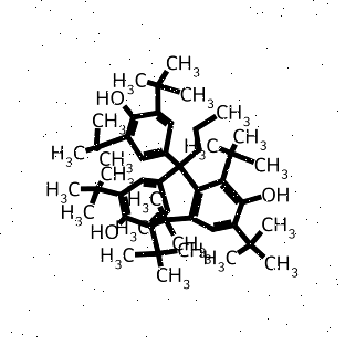 CCCC(c1cc(C(C)(C)C)c(O)c(C(C)(C)C)c1)(c1cc(C(C)(C)C)c(O)c(C(C)(C)C)c1)c1c(C(C)(C)C)cc(C(C)(C)C)c(O)c1C(C)(C)C